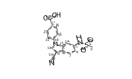 CS(=O)(=O)Nc1ccc2c(C#N)cn(-c3ccc(C(=O)O)cc3)c2c1